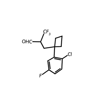 O=CC(CC1(c2cc(F)ccc2Cl)CCC1)C(F)(F)F